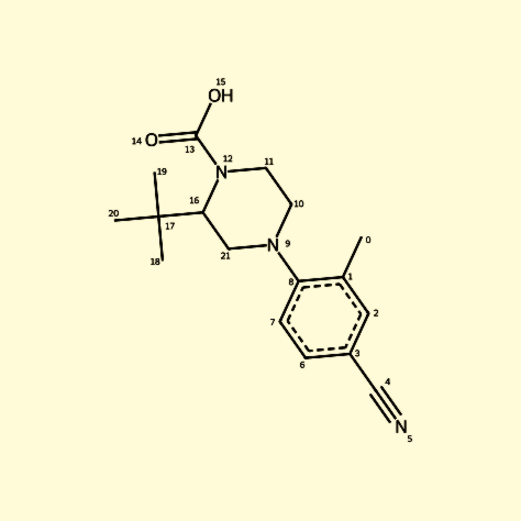 Cc1cc(C#N)ccc1N1CCN(C(=O)O)C(C(C)(C)C)C1